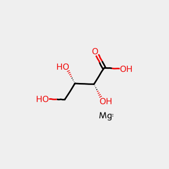 O=C(O)[C@H](O)[C@@H](O)CO.[Mg]